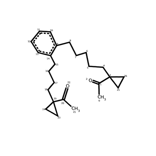 CC(=O)C1(CCCCCc2ccccc2CCCCC2(C(C)=O)CC2)CC1